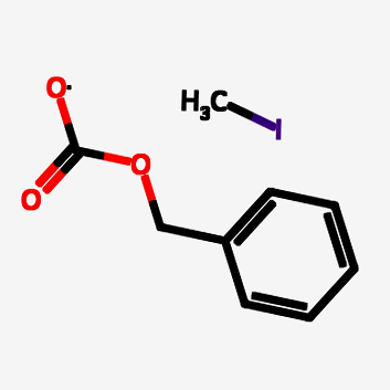 CI.[O]C(=O)OCc1ccccc1